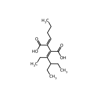 CCCC=C(C(=O)O)C(C(=O)O)=C(CC)C(CC)CC